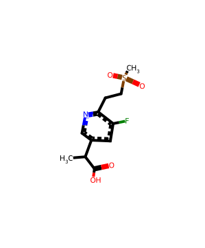 CC(C(=O)O)c1cnc(CCS(C)(=O)=O)c(F)c1